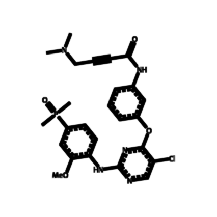 COc1cc(P(C)(C)=O)ccc1Nc1ncc(Cl)c(Oc2cccc(NC(=O)C#CCN(C)C)c2)n1